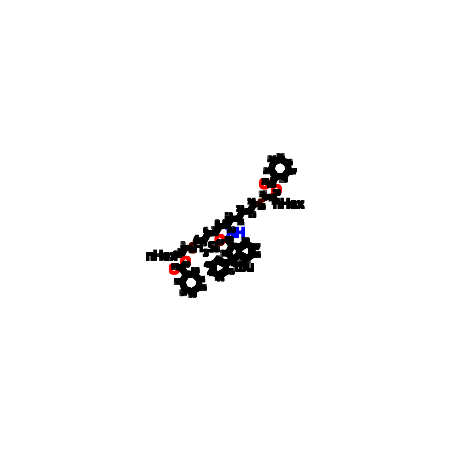 CCCCCCC(CSCCCCCC(CCCCCSCC(CCCCCC)OC(=O)C1CCCCCC1)NC(CCC(c1ccccc1)(c1ccccc1)C(C)(C)C)O[SiH3])OC(=O)C1CCCCCC1